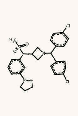 CS(=O)(=O)[C@H](c1cccc(N2CCCC2)c1)C1CN(C(c2ccc(Cl)cc2)c2ccc(Cl)cc2)C1